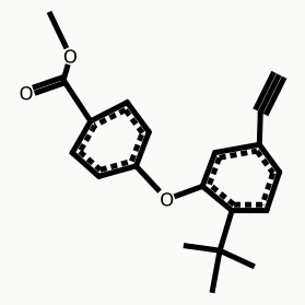 C#Cc1ccc(C(C)(C)C)c(Oc2ccc(C(=O)OC)cc2)c1